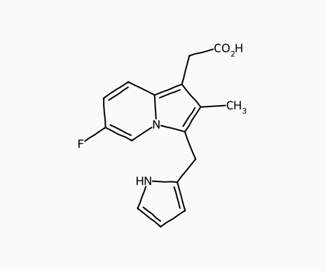 Cc1c(CC(=O)O)c2ccc(F)cn2c1Cc1ccc[nH]1